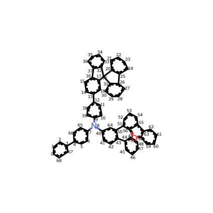 c1ccc(-c2ccc(N(c3ccc(-c4ccc5c(c4)C4(c6ccccc6-c6ccccc64)c4ccccc4-5)cc3)c3ccc(-c4ccccc4)c(-c4cccc5c4oc4ccccc45)c3)cc2)cc1